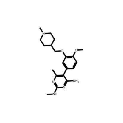 CNc1nc(C)c(-c2ccc(OC)c(OCC3CCN(C)CC3)c2)c(N)n1